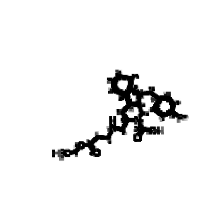 CCOC(=O)CCNCC1Cc2c(n(Cc3ccc(F)cc3)c3ccccc23)CN1C(=O)O